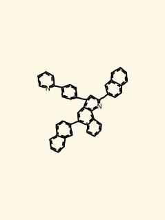 c1ccc(-c2ccc(-c3cc(-c4ccc5ccccc5c4)nc4c3cc(-c3ccc5ccccc5c3)c3ccccc34)cc2)nc1